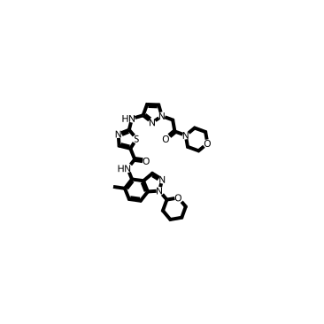 Cc1ccc2c(cnn2C2CCCCO2)c1NC(=O)c1cnc(Nc2ccn(CC(=O)N3CCOCC3)n2)s1